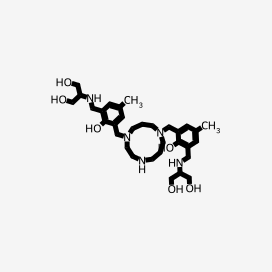 Cc1cc(CNC(CO)CO)c(O)c(CN2CCCNCCN(Cc3cc(C)cc(CNC(CO)CO)c3O)CCC2)c1